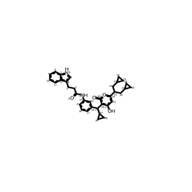 O=C(CCc1c[nH]c2ccccc12)Nc1cccc(C(c2c(O)cc(C(CC3CC3)CC3CC3)oc2=O)C2CC2)c1